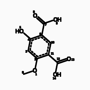 COc1cc(O)c(C(=O)O)cc1C(=O)O